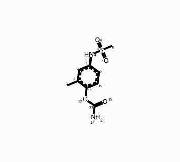 Cc1cc(NS(C)(=O)=O)ccc1OC(N)=O